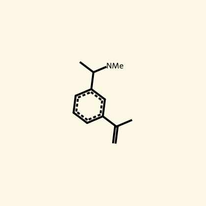 C=C(C)c1cccc(C(C)NC)c1